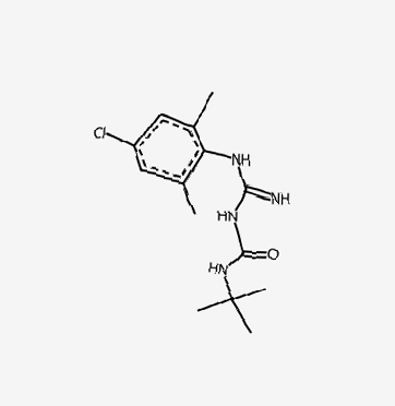 Cc1cc(Cl)cc(C)c1NC(=N)NC(=O)NC(C)(C)C